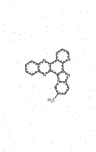 Cc1ccc2nc3c4ncccc4c4nc5ccccc5nc4c3n2c1